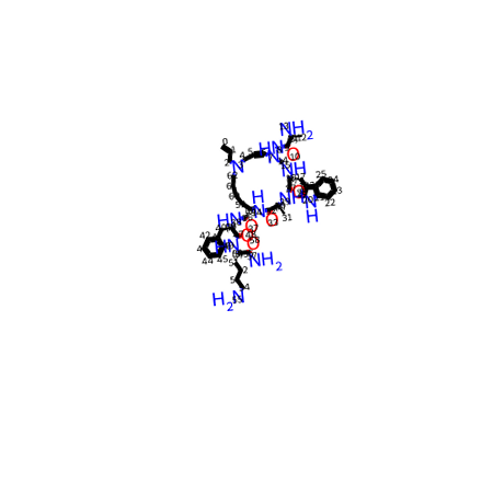 C=CCN1CC#CN(NC(=O)[C@H](C)N)CN[C@H](Cc2c[nH]c3ccccc23)C(=O)N[C@@H](C)C(=O)N[C@H](C(=O)N[C@H](Cc2ccccc2)C(=O)N[C@@H](CCCCN)C(N)=O)CCCC1